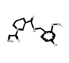 CC(=O)NCC(=O)N1CCCC(C(=O)NCc2ccc(C#N)cc2OC(F)(F)F)C1